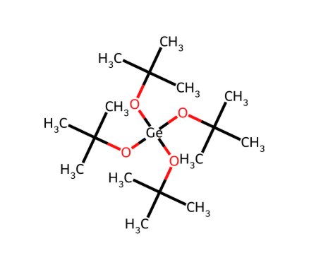 CC(C)(C)[O][Ge]([O]C(C)(C)C)([O]C(C)(C)C)[O]C(C)(C)C